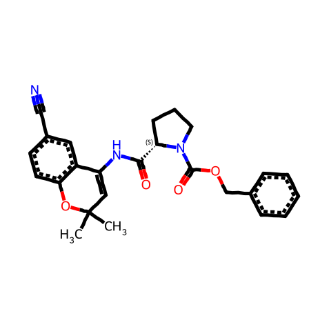 CC1(C)C=C(NC(=O)[C@@H]2CCCN2C(=O)OCc2ccccc2)c2cc(C#N)ccc2O1